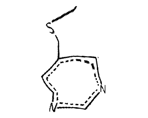 CSc1[c]ncnc1